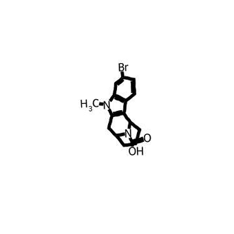 Cn1c2c(c3ccc(Br)cc31)C1CCCC(C2)N1C(=O)O